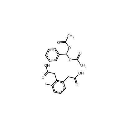 CC(=O)OI(OC(C)=O)c1ccccc1.O=C(O)Cc1cccc(I)c1CC(=O)O